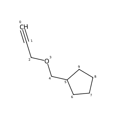 C#CCOCC1CCCC1